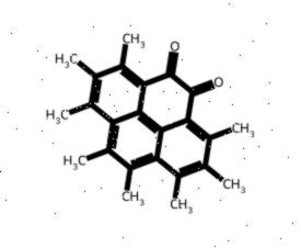 Cc1c(C)c2c(C)c(C)c3c(C)c(C)c(C)c4c(=O)c(=O)c(c1C)c2c34